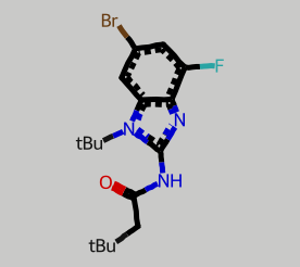 CC(C)(C)CC(=O)Nc1nc2c(F)cc(Br)cc2n1C(C)(C)C